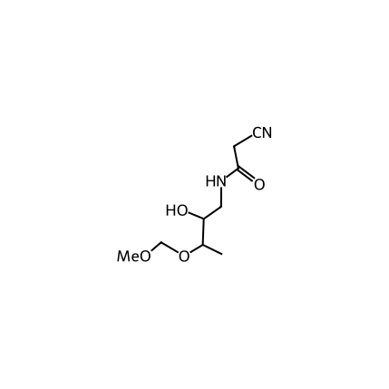 COCOC(C)C(O)CNC(=O)CC#N